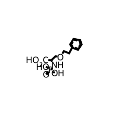 O=C(O)C(COCCc1ccccc1)NP(=O)(O)O